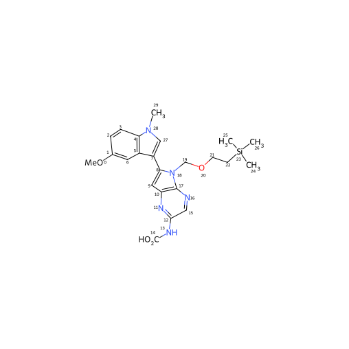 COc1ccc2c(c1)c(-c1cc3nc(NC(=O)O)cnc3n1COCC[Si](C)(C)C)cn2C